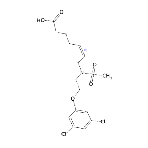 CS(=O)(=O)N(C/C=C\CCCC(=O)O)CCOc1cc(Cl)cc(Cl)c1